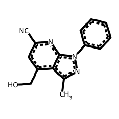 Cc1nn(-c2ccccc2)c2nc(C#N)cc(CO)c12